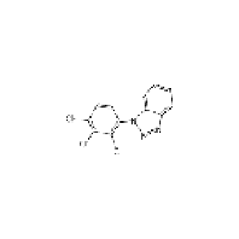 Clc1ccc(-n2nnc3ccccc32)c(Cl)c1Cl